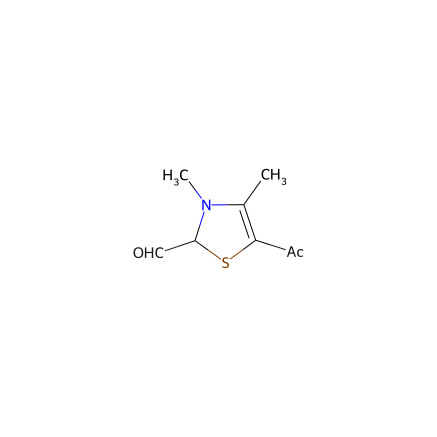 CC(=O)C1=C(C)N(C)C(C=O)S1